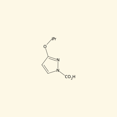 CC(C)Oc1ccn(C(=O)O)n1